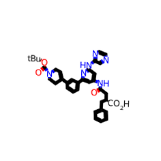 CC(C)(C)OC(=O)N1CC=C(c2cccc(-c3cc(NC(=O)C[C@H](Cc4ccccc4)C(=O)O)cc(Nc4cnccn4)n3)c2)CC1